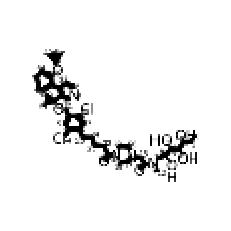 CC[C@@H](O)[C@@H](O)[C@H](O)[C@@H](O)CN(C)C(=O)CN1CCN(C(=O)CCCCc2cc(Cl)c(COC3(c4cnccc4-c4ccccc4OC4CC4)CC3)cc2Cl)CC1